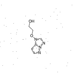 OCCOn1cnn2nccc12